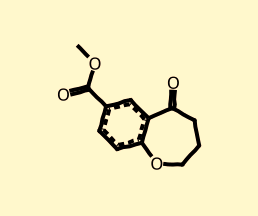 COC(=O)c1ccc2c(c1)C(=O)CCCO2